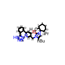 CCCCc1cn(C2C(C)CCCCC2C(C)C)c(=O)n1Cc1ccc(-c2ccccc2-c2nnn[nH]2)nc1